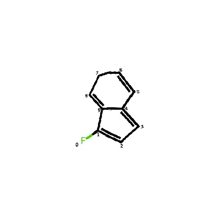 FC1=CC=C2C=CCC=C12